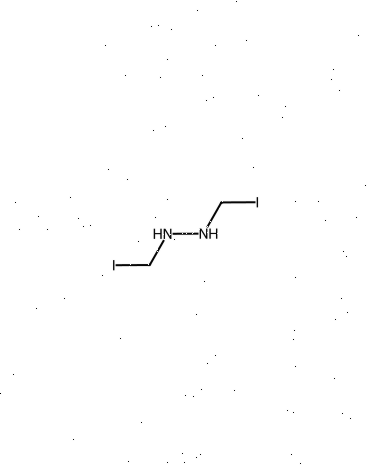 ICNNCI